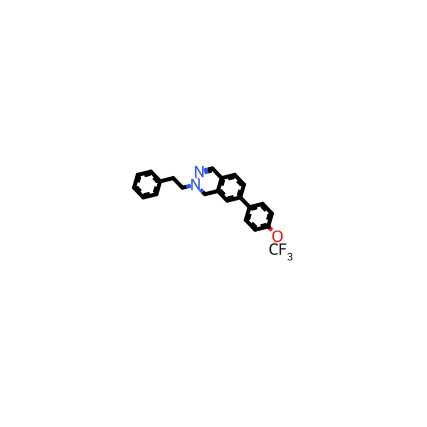 FC(F)(F)Oc1ccc(-c2ccc3c(c2)CN(CCc2ccccc2)N=C3)cc1